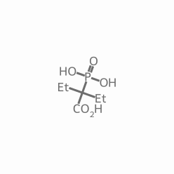 CCC(CC)(C(=O)O)P(=O)(O)O